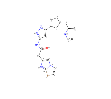 CCC(CC1CCC(c2cc(NC(=O)Cc3cn4ccsc4n3)n[nH]2)C1)NC(=O)O